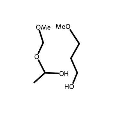 COCCCO.COCOC(C)O